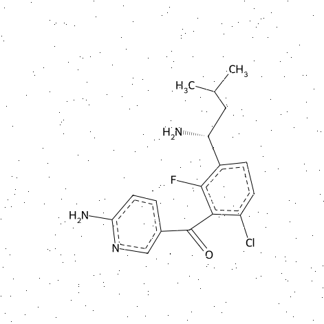 CC(C)C[C@@H](N)c1ccc(Cl)c(C(=O)c2ccc(N)nc2)c1F